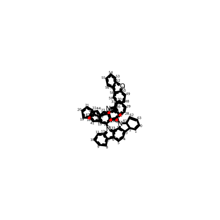 C1=CC2c3ccc4c5ccccc5n(-c5cc(-c6ccccc6)cc6c5oc5ccccc56)c4c3N(c3nc(-c4ccccc4)nc(-c4ccc5oc6ccccc6c5c4)n3)C2C=C1